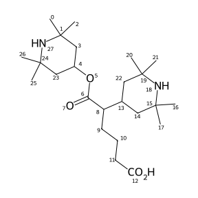 CC1(C)CC(OC(=O)C(CCCC(=O)O)C2CC(C)(C)NC(C)(C)C2)CC(C)(C)N1